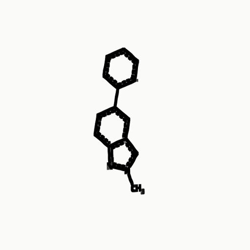 Cn1cc2cc(-c3[c]cccc3)ccc2n1